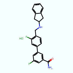 Cl.NC(=O)c1cc(F)cc(-c2ccc(CNC3Cc4ccccc4C3)c(F)c2)c1